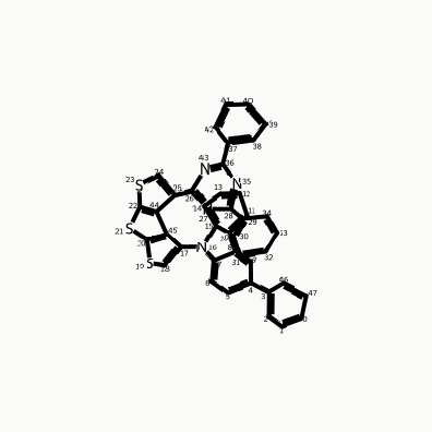 c1ccc(-c2ccc3c(c2)c2ccccc2n3-c2csc3sc4scc(-c5nc(-c6ccccc6)nc(-c6ccccc6)n5)c4c23)cc1